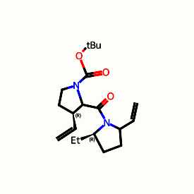 C=CC1CC[C@@H](CC)N1C(=O)C1[C@@H](C=C)CCN1C(=O)OC(C)(C)C